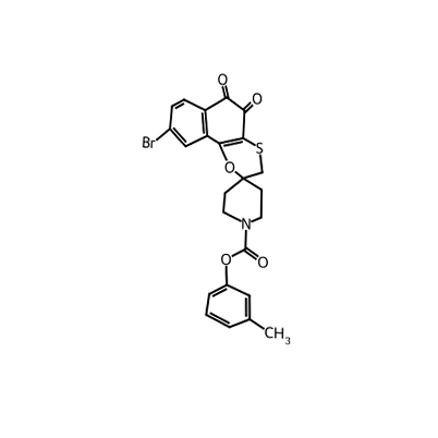 Cc1cccc(OC(=O)N2CCC3(CC2)CSC2=C(O3)c3cc(Br)ccc3C(=O)C2=O)c1